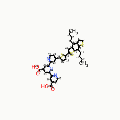 CCCCc1c2ccsc2c(CCCC)c2sc(-c3ccc(-c4ccnc(-c5cc(C(=O)O)cc(-c6cc(C(=O)O)ccn6)n5)c4)s3)cc12